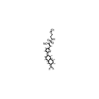 CCOCCNS(=O)(=O)/C(C#N)=C/c1ccc(-c2ccc3cc(N(C)C)ccc3c2)o1